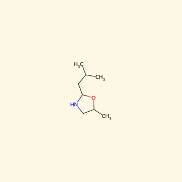 CC(C)CC1NCC(C)O1